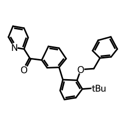 CC(C)(C)c1cccc(-c2cccc(C(=O)c3ccccn3)c2)c1OCc1ccccc1